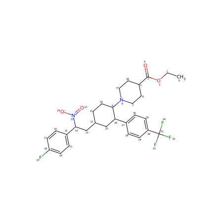 CCOC(=O)C1CCN(C2CCC(CC(c3ccc(F)cc3)[N+](=O)[O-])CC2c2ccc(C(F)(F)F)cc2)CC1